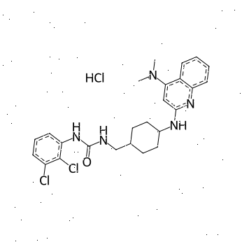 CN(C)c1cc(NC2CCC(CNC(=O)Nc3cccc(Cl)c3Cl)CC2)nc2ccccc12.Cl